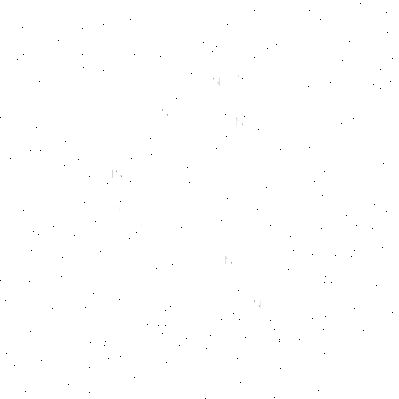 Cc1nc(-c2noc(C(F)(F)F)n2)ccc1NC(=O)OCc1ccc(N(C)C)nc1